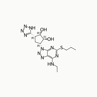 CCCSc1nc(NCC)c2nnn([C@@H]3C[C@H](c4nnn[nH]4)[C@@H](O)[C@H]3O)c2n1